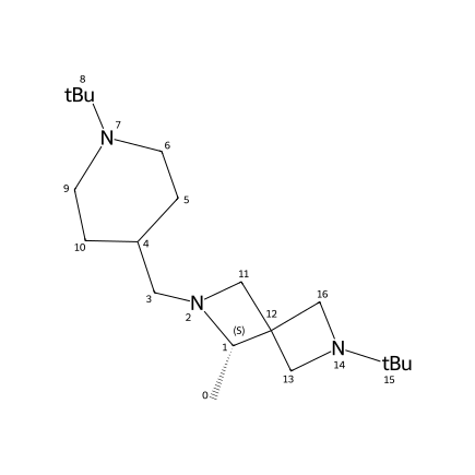 C[C@@H]1N(CC2CCN(C(C)(C)C)CC2)CC12CN(C(C)(C)C)C2